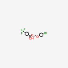 OB(OCCOc1ccc(Br)cc1)c1ccc(C(F)(F)F)cc1